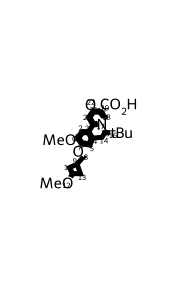 COc1cc2c(cc1OCC1CC(OC)C1)CC(C(C)(C)C)n1cc(C(=O)O)c(=O)cc1-2